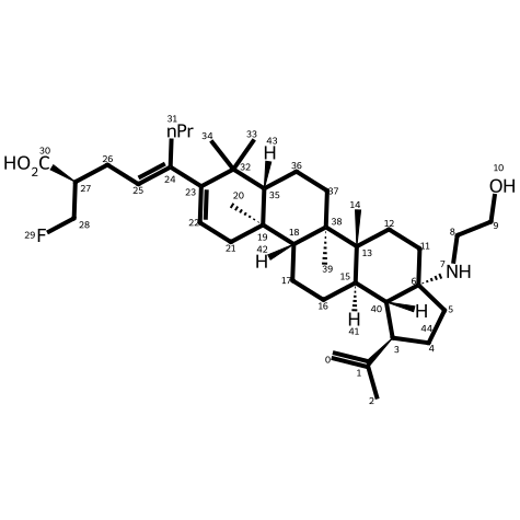 C=C(C)[C@@H]1CC[C@]2(NCCO)CC[C@]3(C)[C@H](CC[C@@H]4[C@@]5(C)CC=C(/C(=C/C[C@@H](CF)C(=O)O)CCC)C(C)(C)[C@@H]5CC[C@]43C)[C@@H]12